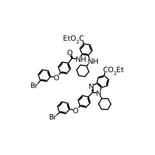 CCOC(=O)c1ccc(NC2CCCCC2)c(NC(=O)c2ccc(Oc3cccc(Br)c3)cc2)c1.CCOC(=O)c1ccc2c(c1)nc(-c1ccc(Oc3cccc(Br)c3)cc1)n2C1CCCCC1